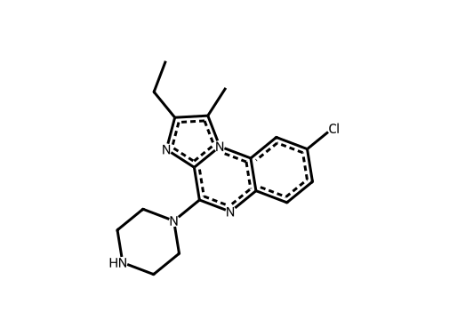 CCc1nc2c(N3CCNCC3)nc3ccc(Cl)cc3n2c1C